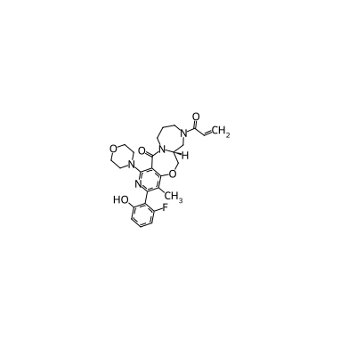 C=CC(=O)N1CCCN2C(=O)c3c(N4CCOCC4)nc(-c4c(O)cccc4F)c(C)c3OC[C@H]2C1